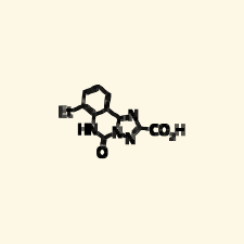 CCc1cccc2c1[nH]c(=O)n1nc(C(=O)O)nc21